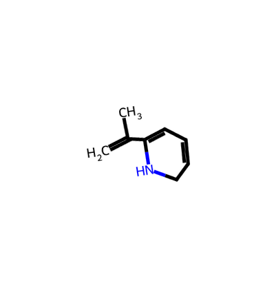 C=C(C)C1=CC=CCN1